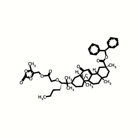 CCCC[C@H](OCC(=O)OCc1oc(=O)oc1C)C(C)(C)[C@@H]1CC[C@]2(C)[C@@H](C1)C(=O)C=C1[C@@H]3C[C@@](C)(C(=O)OC(c4ccccc4)c4ccccc4)CC[C@]3(C)CC[C@]12C